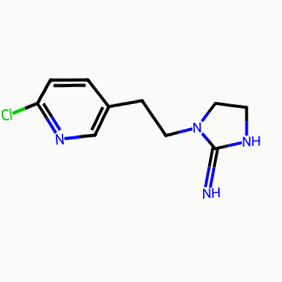 N=C1NCCN1CCc1ccc(Cl)nc1